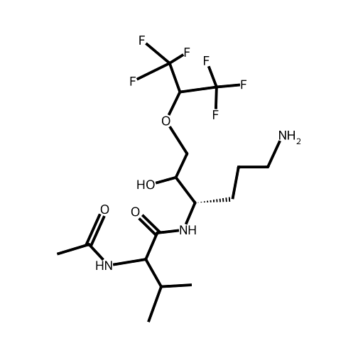 CC(=O)NC(C(=O)N[C@@H](CCCN)C(O)COC(C(F)(F)F)C(F)(F)F)C(C)C